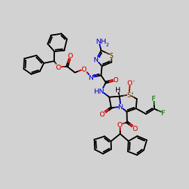 Nc1nc(C(=NOCC(=O)OC(c2ccccc2)c2ccccc2)C(=O)NC2C(=O)N3C(C(=O)OC(c4ccccc4)c4ccccc4)=C(C=C(F)F)C[S+]([O-])[C@@H]23)cs1